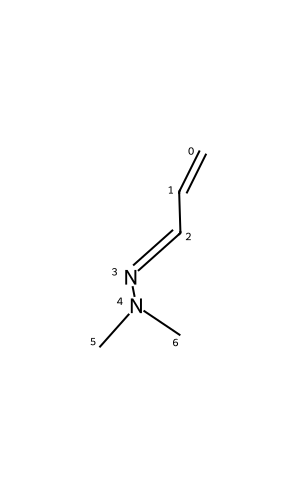 C=C/C=N/N(C)C